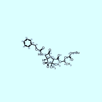 CCCCOC(=O)OC(C)OC(=O)[C@@H]1N2C(=O)[C@@H](NC(=O)OCc3ccccc3)[C@H]2S(=O)(=O)C1(C)C